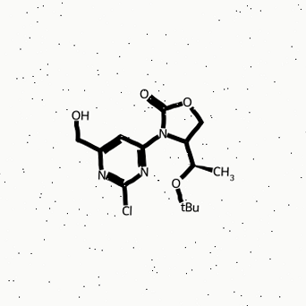 C[C@@H](OC(C)(C)C)C1COC(=O)N1c1cc(CO)nc(Cl)n1